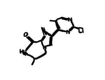 Cc1cnc(Cl)nc1-c1cn2c(n1)C(=O)NC(C)C2